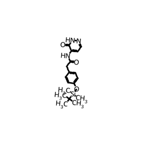 CC(C)(C)[Si](C)(C)Oc1ccc(CC(=O)Nc2ccn[nH]c2=O)cc1